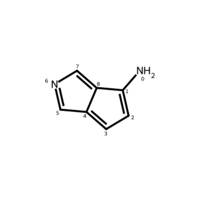 NC1=CC=C2C=NC=C12